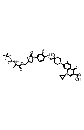 CC(NC(=O)OC(C)(C)C)C(=O)OCC1CN(c2ccc(OCC3(O)CCN(c4cc5c(cc4F)c(=O)c(C(=O)O)cn5C4CC4)CC3)c(F)c2)C(=O)O1